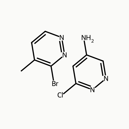 Cc1ccnnc1Br.Nc1cnnc(Cl)c1